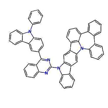 c1ccc(-n2c3ccccc3c3cc(-c4nc(-n5c6ccccc6c6cc7c(cc65)c5cccc6c5n7-c5ccccc5-c5ccccc5-6)nc5ccccc45)ccc32)cc1